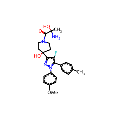 COc1ccc(-n2nc(C3(O)CCN(C(=O)C(C)(N)O)CC3)c(F)c2-c2ccc(C)cc2)cc1